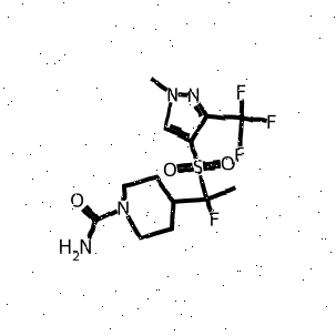 Cn1cc(S(=O)(=O)C(C)(F)C2CCN(C(N)=O)CC2)c(C(F)(F)F)n1